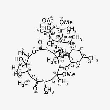 CC[C@H]1OC(=O)[C@H](C)[C@@H](O[C@H]2C[C@@](C)(OC)[C@@H](OC(C)=O)[C@H](C)O2)[C@H](C)[C@@H](O[C@@H]2O[C@H](C)C[C@@H](N(C)CCCO)[C@@H]2N(C)C)[C@@](C)(OC)C[C@@H](C)C(=O)[C@H](C)[C@@H](O)[C@]1(C)O